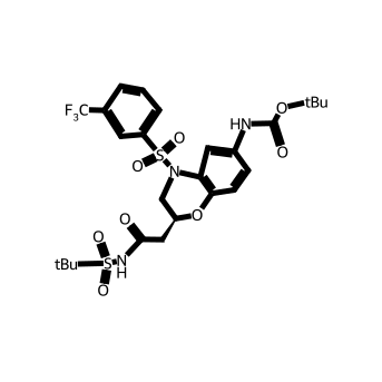 CC(C)(C)OC(=O)Nc1ccc2c(c1)N(S(=O)(=O)c1cccc(C(F)(F)F)c1)C[C@H](CC(=O)NS(=O)(=O)C(C)(C)C)O2